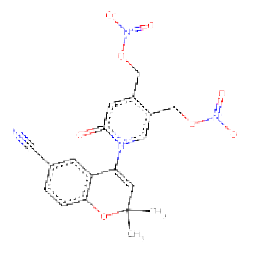 CC1(C)C=C(n2cc(CO[N+](=O)[O-])c(CO[N+](=O)[O-])cc2=O)c2cc(C#N)ccc2O1